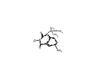 CCn1c(=O)c2cc([N+](=O)[O-])ccc2n(C[Si](C)(C)C)c1=O